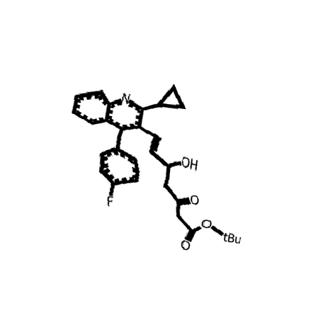 CC(C)(C)OC(=O)CC(=O)CC(O)C=Cc1c(C2CC2)nc2ccccc2c1-c1ccc(F)cc1